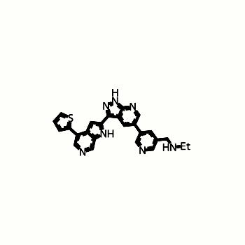 CCNCc1cncc(-c2cnc3[nH]nc(-c4cc5c(-c6cccs6)cncc5[nH]4)c3c2)c1